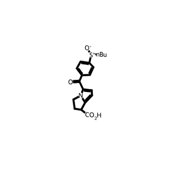 CCCC[S+]([O-])c1ccc(C(=O)c2ccc3n2CCC3C(=O)O)cc1